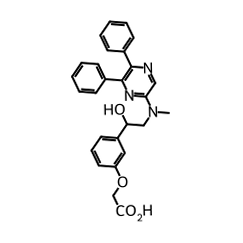 CN(CC(O)c1cccc(OCC(=O)O)c1)c1cnc(-c2ccccc2)c(-c2ccccc2)n1